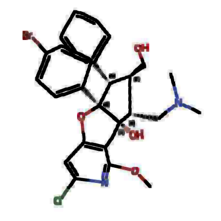 COc1nc(Cl)cc2c1[C@]1(O)[C@@H](CN(C)C)[C@H](CO)[C@@H](c3ccccc3)[C@]1(c1ccc(Br)cc1)O2